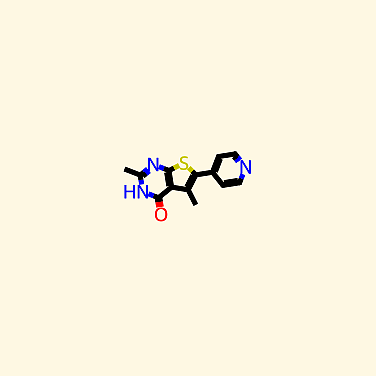 Cc1nc2sc(-c3ccncc3)c(C)c2c(=O)[nH]1